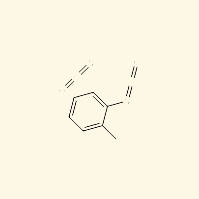 Cc1ccccc1N=C=O.N=C=O